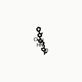 Cc1cc(-c2nc3cc(CC4CCC5C(C)COC45)[nH]c3cc2Cl)ccc1-c1ccccc1